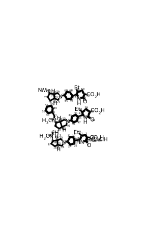 CCc1cc(C(=O)O)c(=O)[nH]c1-c1ccc(N2C[C@H]3CC[C@@H](N(C)C)[C@H]3C2)cc1.CCc1cc(C(=O)O)c(=O)[nH]c1-c1ccc(N2C[C@H]3CC[C@@H](N(C)Cc4ccccc4)[C@H]3C2)cc1.CCc1cc(C(=O)O)c(=O)[nH]c1-c1ccc(N2C[C@H]3CC[C@@H](NC)[C@H]3C2)cc1.Cl.Cl.Cl